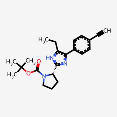 C#Cc1ccc(-c2nc([C@@H]3CCCN3C(=O)OC(C)(C)C)[nH]c2CC)cc1